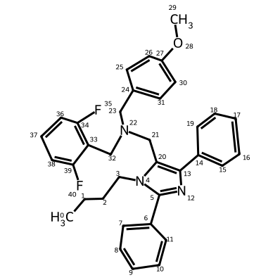 CCCCn1c(-c2ccccc2)nc(-c2ccccc2)c1CN(Cc1ccc(OC)cc1)Cc1c(F)cccc1F